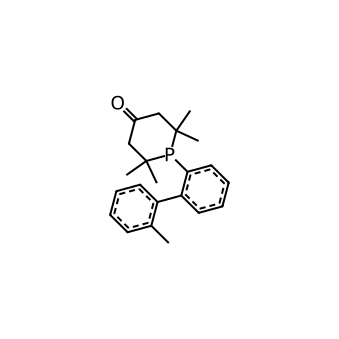 Cc1ccccc1-c1ccccc1P1C(C)(C)CC(=O)CC1(C)C